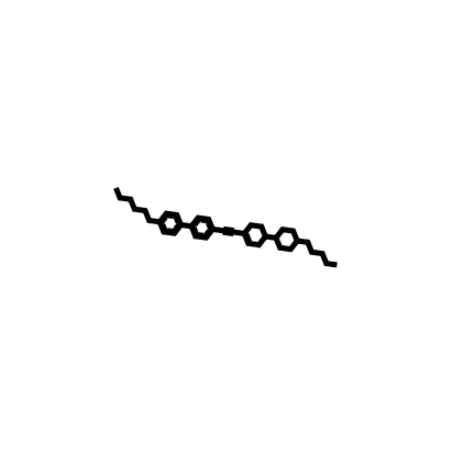 CCCCCCc1ccc(-c2ccc(C#CC3=CCC(C4CCC(CCCCC)CC4)CC3)cc2)cc1